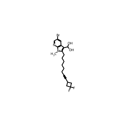 Cn1c(CCCCCCC#CC2CC(F)(F)C2)c(C(O)O)c2cc(Br)cnc21